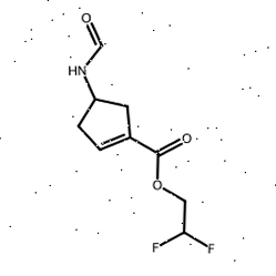 O=CNC1CC=C(C(=O)OCC(F)F)C1